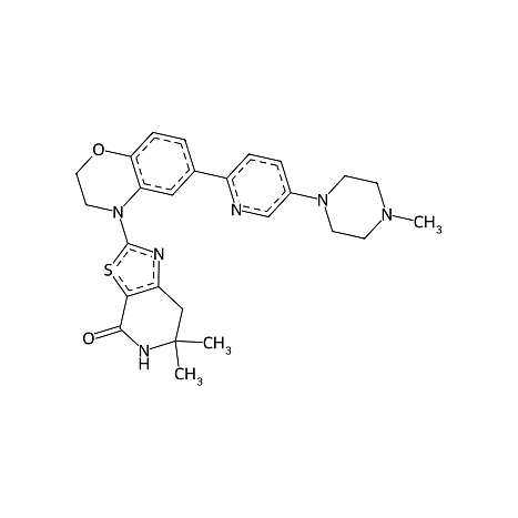 CN1CCN(c2ccc(-c3ccc4c(c3)N(c3nc5c(s3)C(=O)NC(C)(C)C5)CCO4)nc2)CC1